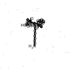 CC(=O)OC[C@H]1O[C@@H](Oc2cc3c(c4ccccc24)[C@H](CCl)CN3C(=O)/C=C/c2ccc(/C=C/C(=O)N3C[C@@H](CCl)c4c3cc(O[C@@H]3O[C@H](CO)[C@H](O)[C@H](O)[C@H]3O)c3ccccc43)cc2NC(=O)CCOCCOCCOCCOCCOCCOCCOCCN)[C@H](OC(C)=O)[C@@H](OC(C)=O)[C@H]1OC(C)=O